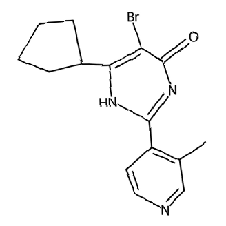 Cc1cnccc1-c1nc(=O)c(Br)c(C2CCCC2)[nH]1